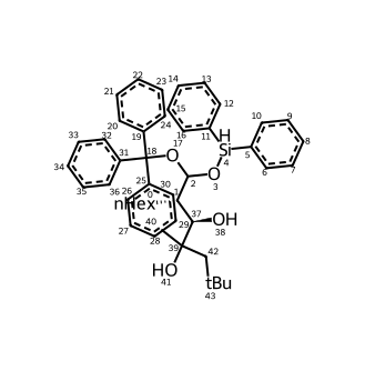 CCCCCC[C@H](C(O[SiH](c1ccccc1)c1ccccc1)OC(c1ccccc1)(c1ccccc1)c1ccccc1)[C@@H](O)C(C)(O)CC(C)(C)C